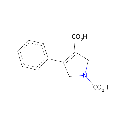 O=C(O)C1=C(c2ccccc2)CN(C(=O)O)C1